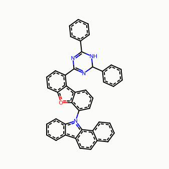 c1ccc(C2=NC(c3cccc4oc5c(-n6c7ccccc7c7ccc8ccccc8c76)cccc5c34)=NC(c3ccccc3)N2)cc1